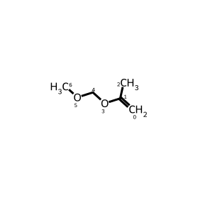 C=C(C)OCOC